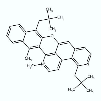 Cc1c2c(c(CC(C)(C)C)c3ccccc13)Oc1cc3ccnc(CC(C)(C)C)c3c3cc[n+](C)c-2c13